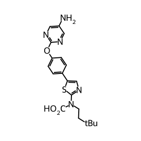 CC(C)(C)CCN(C(=O)O)c1ncc(-c2ccc(Oc3ncc(N)cn3)cc2)s1